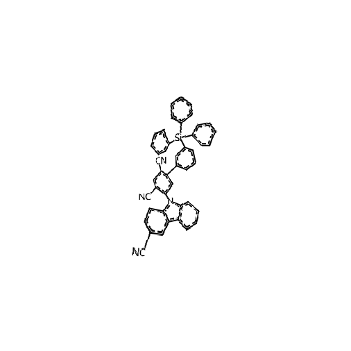 N#Cc1ccc2c(c1)c1ccccc1n2-c1cc(-c2cccc([Si](c3ccccc3)(c3ccccc3)c3ccccc3)c2)c(C#N)cc1C#N